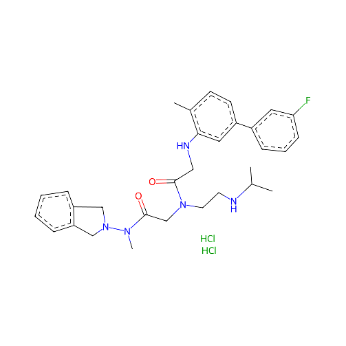 Cc1ccc(-c2cccc(F)c2)cc1NCC(=O)N(CCNC(C)C)CC(=O)N(C)N1Cc2ccccc2C1.Cl.Cl